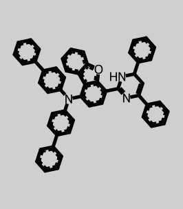 C1=C(c2ccccc2)N=C(c2ccc(N(c3ccc(-c4ccccc4)cc3)c3ccc(-c4ccccc4)cc3)c3c2oc2ccccc23)NC1c1ccccc1